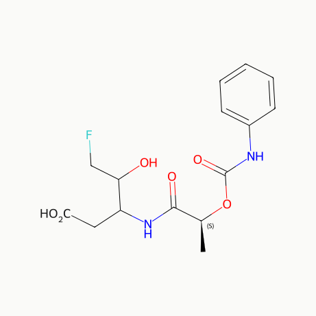 C[C@H](OC(=O)Nc1ccccc1)C(=O)NC(CC(=O)O)C(O)CF